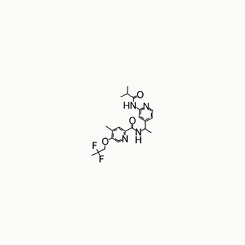 Cc1cc(C(=O)NC(C)c2ccnc(NC(=O)C(C)C)c2)ncc1OCC(C)(F)F